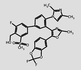 Cc1cn(-c2ccc(-c3cc(F)c(CO)c(S(C)(=O)=O)c3)cc2-c2nc(C)oc2-c2ccc3c(c2)OC(F)(F)O3)c(C)n1